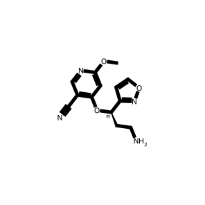 COc1cc(O[C@H](CCN)c2ccon2)c(C#N)cn1